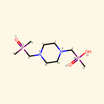 CP(C)(=O)CN1CCN(CP(C)(=O)O)CC1